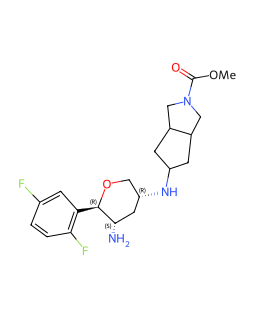 COC(=O)N1CC2CC(N[C@H]3CO[C@H](c4cc(F)ccc4F)[C@@H](N)C3)CC2C1